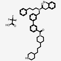 O=C(Cc1ccccc1Br)N(CCCc1ccccc1)Cc1cccc(-c2cccc(C(=O)N3CCC(CCCC4CCNCC4)CC3)c2)c1.O=C(O)C(F)(F)F